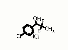 CC(F)(F)C(O)c1ccc(Cl)cc1.Cl